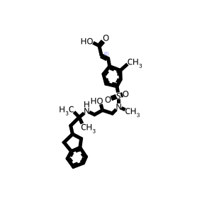 Cc1cc(S(=O)(=O)N(C)CC(O)CNC(C)(C)CC2Cc3ccccc3C2)ccc1/C=C/C(=O)O